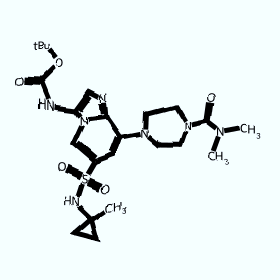 CN(C)C(=O)N1CCN(c2cc(S(=O)(=O)NC3(C)CC3)cn3c(NC(=O)OC(C)(C)C)cnc23)CC1